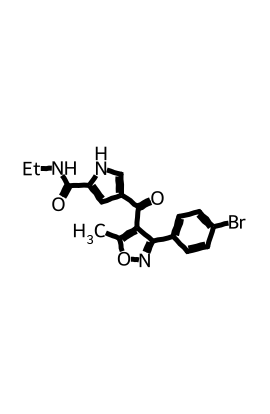 CCNC(=O)c1cc(C(=O)c2c(-c3ccc(Br)cc3)noc2C)c[nH]1